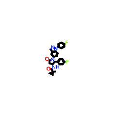 CC1(C(=O)N[C@H]2CC(=O)N(c3ccc4c(cnn4-c4ccc(F)cc4)c3)C2c2ccc(F)cc2)CC1